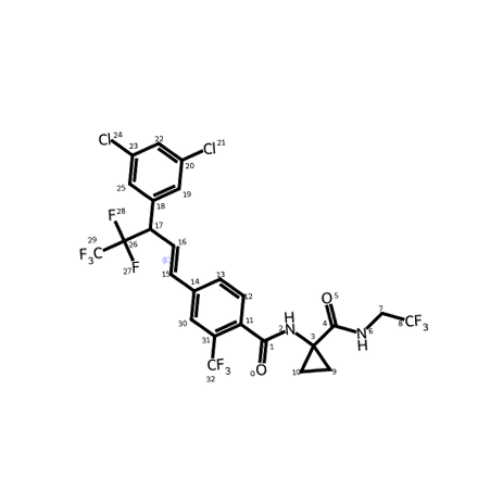 O=C(NC1(C(=O)NCC(F)(F)F)CC1)c1ccc(/C=C/C(c2cc(Cl)cc(Cl)c2)C(F)(F)C(F)(F)F)cc1C(F)(F)F